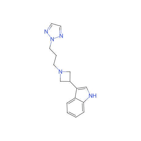 c1ccc2c(C3CN(CCCn4nccn4)C3)c[nH]c2c1